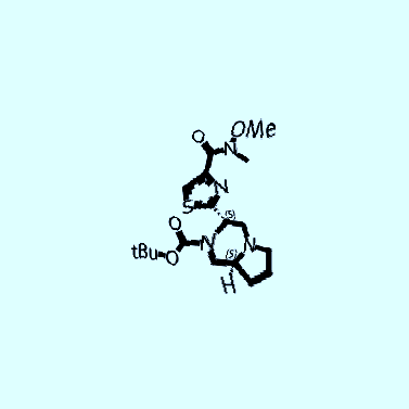 CON(C)C(=O)c1csc([C@@H]2CN3CCC[C@H]3CN2C(=O)OC(C)(C)C)n1